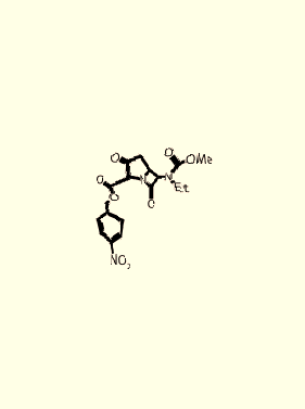 CCN(C(=O)OC)C1C(=O)N2C(C(=O)OCc3ccc([N+](=O)[O-])cc3)C(=O)CC12